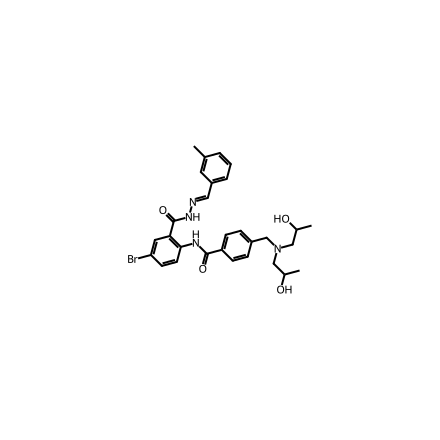 Cc1cccc(C=NNC(=O)c2cc(Br)ccc2NC(=O)c2ccc(CN(CC(C)O)CC(C)O)cc2)c1